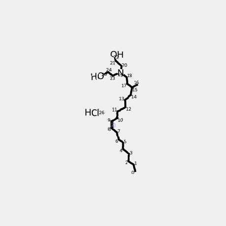 CCCCCCCC/C=C\CCCCCC(C)CCN(CCO)CCO.Cl